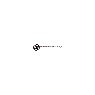 CCCCCCCCCCCCCCCCCCCCCCCCCC(=O)OC(C)(C)OC(=O)C(C)C